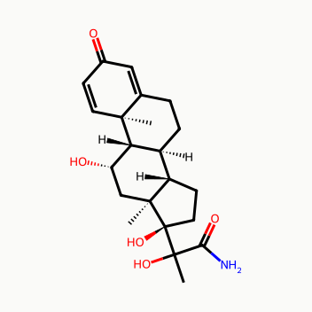 CC(O)(C(N)=O)[C@@]1(O)CC[C@H]2[C@@H]3CCC4=CC(=O)C=C[C@]4(C)[C@H]3[C@@H](O)C[C@@]21C